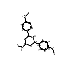 CNC1CC(c2ccc(OC)cc2)SC(c2ccc(OC)cc2)C1